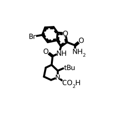 CC(C)(C)C1C(C(=O)Nc2c(C(N)=O)oc3ccc(Br)cc23)CCCN1C(=O)O